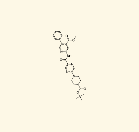 COC(=O)c1cc(NC(=O)c2cnc(N3CCC(C(=O)OC(C)(C)C)CC3)cn2)ncc1-c1ccccc1